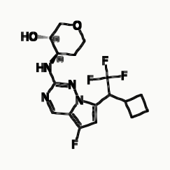 O[C@@H]1COCC[C@H]1Nc1ncc2c(F)cc(C(C3CCC3)C(F)(F)F)n2n1